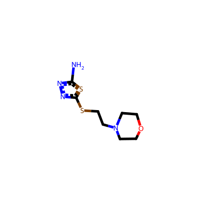 Nc1nnc(SCCN2CCOCC2)s1